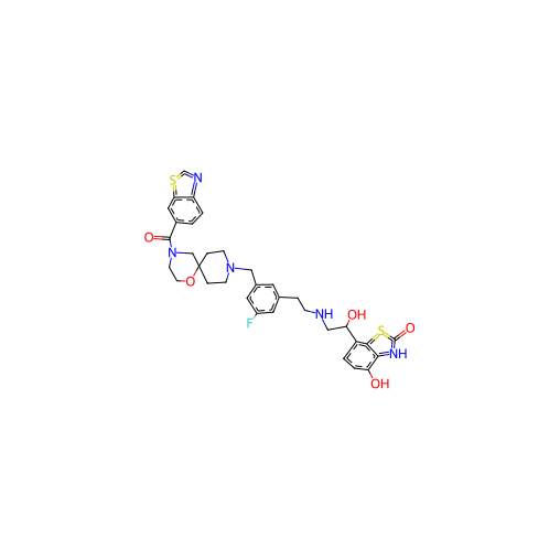 O=C(c1ccc2ncsc2c1)N1CCOC2(CCN(Cc3cc(F)cc(CCNCC(O)c4ccc(O)c5[nH]c(=O)sc45)c3)CC2)C1